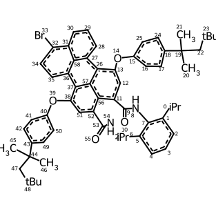 CC(C)c1cccc(C(C)C)c1NC(=O)c1cc(Oc2ccc(C(C)(C)CC(C)(C)C)cc2)c2c3cccc4c(Br)ccc(c5c(Oc6ccc(C(C)(C)CC(C)(C)C)cc6)cc(C(N)=O)c1c52)c43